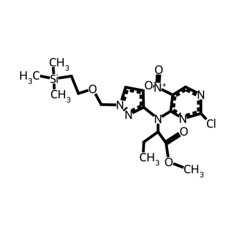 CCC(C(=O)OC)N(c1ccn(COCC[Si](C)(C)C)n1)c1nc(Cl)ncc1[N+](=O)[O-]